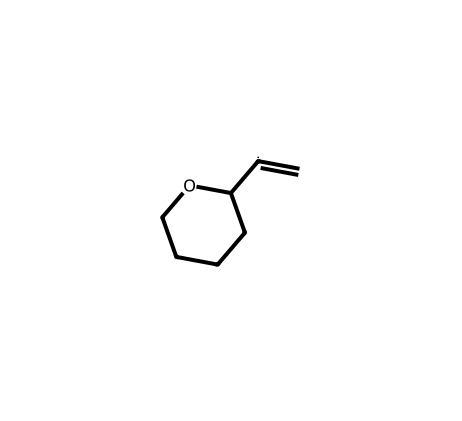 C=[C]C1CCCCO1